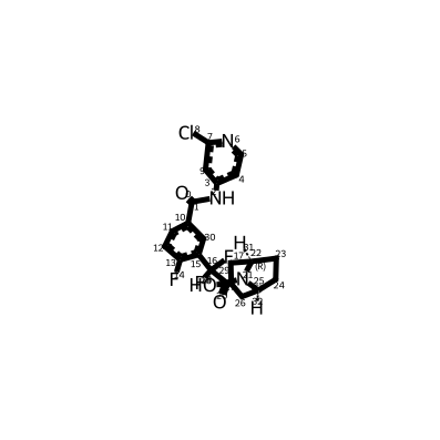 O=C(Nc1ccnc(Cl)c1)c1ccc(F)c(C(F)(F)C(=O)N2[C@@H]3CC[C@H]2CC(O)C3)c1